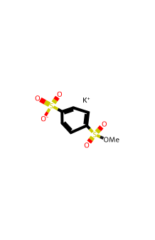 COS(=O)(=O)c1ccc(S(=O)(=O)[O-])cc1.[K+]